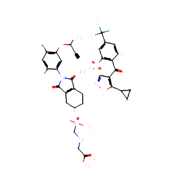 C#CC(C)Oc1cc(N2C(=O)C3=C(CCCC3)C2=O)c(F)cc1Cl.CS(=O)(=O)c1cc(C(F)(F)F)ccc1C(=O)c1cnoc1C1CC1.O=C(O)CNCP(=O)(O)O